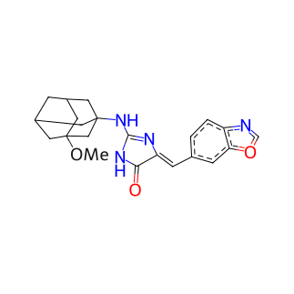 COC12CC3CC(CC(NC4=N/C(=C\c5ccc6ncoc6c5)C(=O)N4)(C3)C1)C2